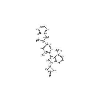 Nc1nccc2c1c(-c1ccc(C(O)Nc3ccccn3)cc1Cl)nn2C1CNC1